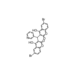 O=c1oc2ccc(Br)cc2c(O)c1C(c1cccnc1)c1c(O)c2cc(Br)ccc2oc1=O